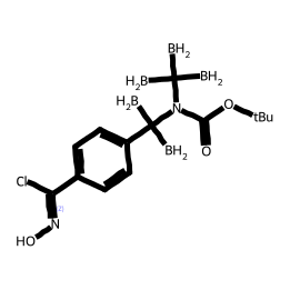 BC(B)(B)N(C(=O)OC(C)(C)C)C(B)(B)c1ccc(/C(Cl)=N/O)cc1